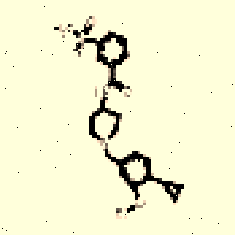 CCOc1cc(CN2CCC(NC(=O)c3cccc(S(C)(=O)=O)c3)CC2)ccc1C1CC1